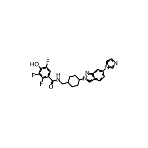 O=C(NCC1CCC(n2cc3ccc(-n4ccnc4)cc3n2)CC1)c1cc(F)c(O)c(F)c1F